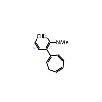 C/C=C\C(C1=CCC=CC=C1)=C(/CC)NC